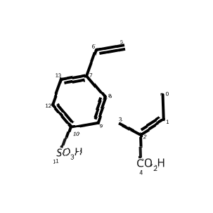 C/C=C(\C)C(=O)O.C=Cc1ccc(S(=O)(=O)O)cc1